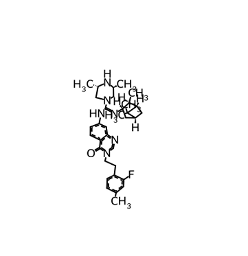 Cc1ccc(CCn2cnc3cc(NC(=N[C@H]4C[C@H]5C[C@@H]([C@@H]4C)C5(C)C)N4C[C@H](C)N[C@@H](C)C4)ccc3c2=O)c(F)c1